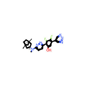 CN(c1ccc(-c2c(O)cc(-c3cnnnc3)c(F)c2F)nn1)[C@H]1C[C@]2(C)CC[C@](C)(C1)C2